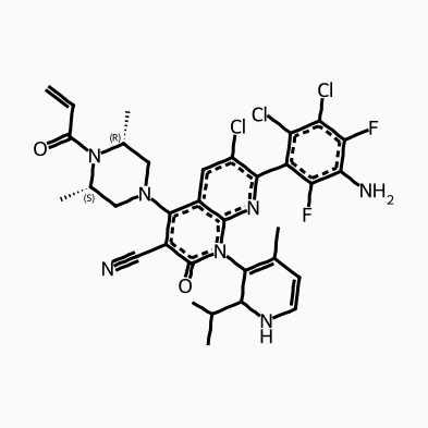 C=CC(=O)N1[C@H](C)CN(c2c(C#N)c(=O)n(C3=C(C)C=CNC3C(C)C)c3nc(-c4c(F)c(N)c(F)c(Cl)c4Cl)c(Cl)cc23)C[C@@H]1C